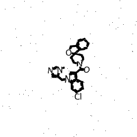 Cn1cncc1Cn1cc(C(=O)N2CCC3(CC2)OCc2ccccc23)c2ccc(Cl)cc21